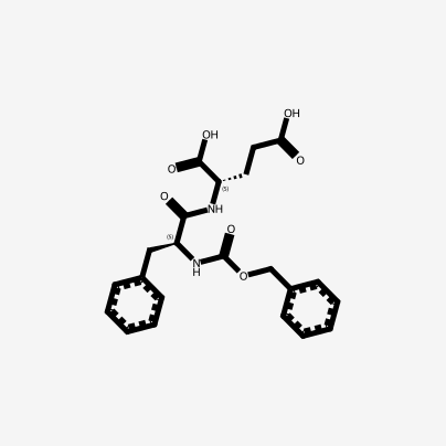 O=C(O)CC[C@H](NC(=O)[C@H](Cc1ccccc1)NC(=O)OCc1ccccc1)C(=O)O